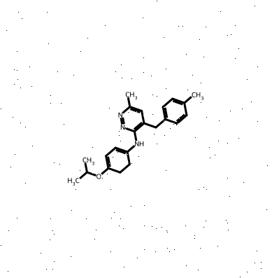 Cc1ccc(Cc2cc(C)nnc2NC2=CC=C(OC(C)C)CC2)cc1